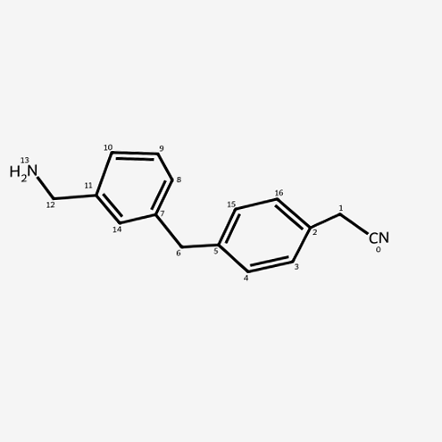 N#CCc1ccc(Cc2cccc(CN)c2)cc1